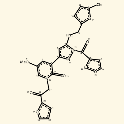 COc1cc(-c2cc(NCc3ccc(Cl)s3)n(C(=O)c3ccon3)n2)c(=O)n(CC(=O)c2ccco2)c1